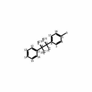 Cc1ccc(C(F)(F)C(F)(F)c2ccccc2)cc1